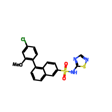 COc1cc(Cl)ccc1-c1cccc2cc(S(=O)(=O)Nc3ncns3)ccc12